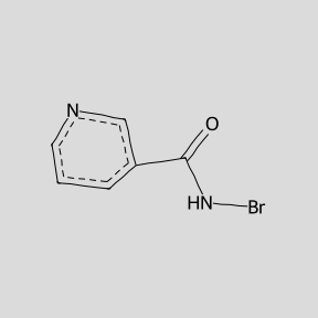 O=C(NBr)c1cccnc1